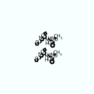 CC(=O)N[C@@H](Cc1ccccc1)[C@H](O)CN[C@H]1CC2(CCC2)Oc2ncc(C[C@@H]3CCCO3)cc21.CC(=O)N[C@@H](Cc1ccccc1)[C@H](O)CN[C@H]1CC2(CCC2)Oc2ncc(C[C@H]3CCCO3)cc21